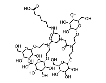 O=C(O)CCCCCNC(=O)CN(CC(=O)N(CCO[C@H]1O[C@H](CO)[C@@H](O)[C@H](O)[C@@H]1O)CCO[C@H]1O[C@H](CO)[C@@H](O)[C@H](O)[C@@H]1O)CC(=O)N(CCO[C@H]1O[C@H](CO)[C@@H](O)[C@H](O)[C@@H]1O)CCO[C@H]1O[C@H](CO)[C@@H](O)[C@H](O)[C@@H]1O